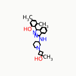 Cc1cc(C)c(-c2nnc(NC3CCCN(C4CC(C)(O)C4)C3)c3ccccc23)c(O)c1